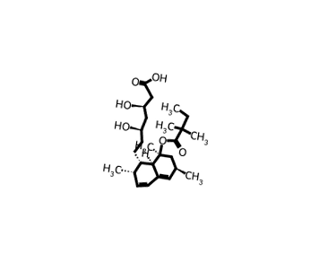 CCC(C)(C)C(=O)O[C@@]1(C)C[C@@H](C)C=C2C=C[C@H](C)[C@H](CC[C@@H](O)C[C@@H](O)CC(=O)O)[C@H]21